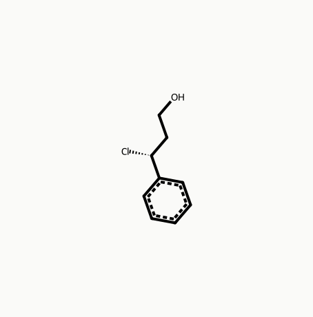 OCC[C@@H](Cl)c1ccccc1